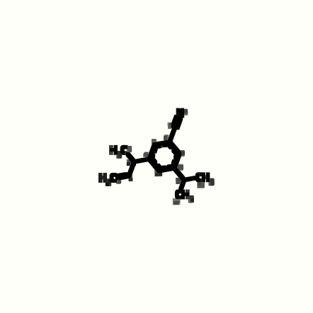 C=C[C](C)c1cc(C#N)cc(C(C)C)c1